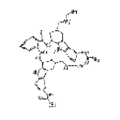 CC(C)CNCC1Cc2c([nH]c3ccc(NC(=O)C(C)(C)C)cc23)C(OC(=O)c2ccccc2C(=O)OC2CC(CNCC(C)C)Cc3c2[nH]c2ccc(NC(=O)C(C)(C)C)cc32)C1